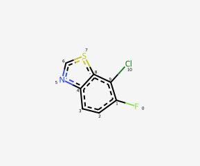 Fc1ccc2ncsc2c1Cl